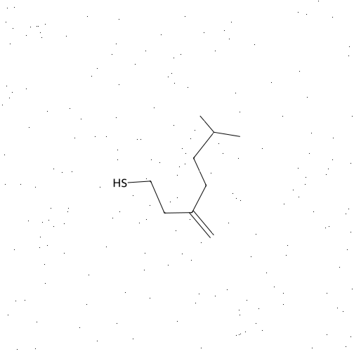 C=C(CCS)CCC(C)C